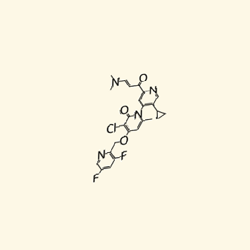 Cc1cc(OCc2ncc(F)cc2F)c(Cl)c(=O)n1-c1cc(C(=O)/C=C/N(C)C)ncc1C1CC1